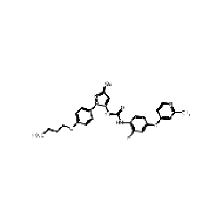 Cc1cc(Oc2ccc(NC(=O)Nc3cc(C(C)(C)C)nn3-c3ccc(OCCCC(=O)O)cc3)c(F)c2)ccn1